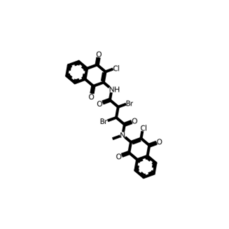 CN(C(=O)C(Br)C(Br)C(=O)NC1=C(Cl)C(=O)c2ccccc2C1=O)C1=C(Cl)C(=O)c2ccccc2C1=O